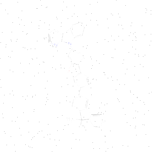 CC1(C)c2ccccc2-c2cc(-c3ccc4c(c3)oc3cc(-n5c6ccccc6c6cccnc65)ccc34)ccc21